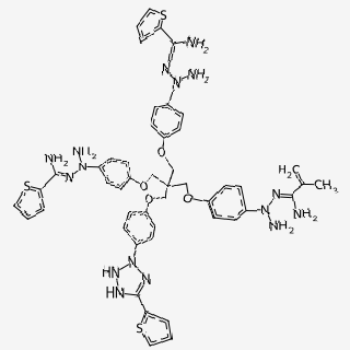 C=C(C)/C(N)=N/N(N)c1ccc(OCC(COc2ccc(N(N)/N=C(\N)c3cccs3)cc2)(COc2ccc(N(N)/N=C(\N)c3cccs3)cc2)COc2ccc(N3N=C(c4cccs4)NN3)cc2)cc1